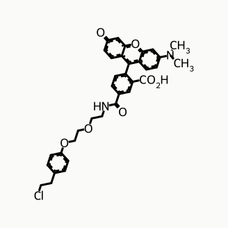 CN(C)c1ccc2c(-c3ccc(C(=O)NCCOCCOc4ccc(CCCl)cc4)cc3C(=O)O)c3ccc(=O)cc-3oc2c1